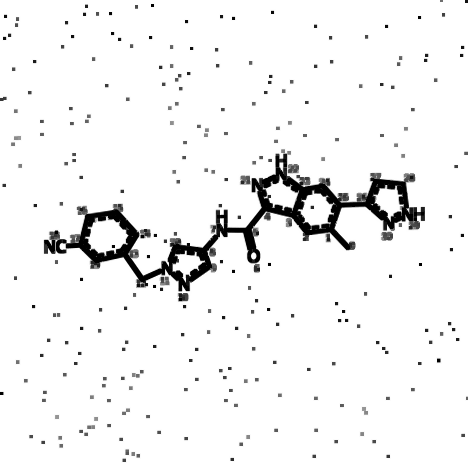 Cc1cc2c(C(=O)Nc3cnn(Cc4cccc(C#N)c4)c3)n[nH]c2cc1-c1cc[nH]n1